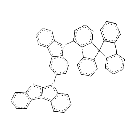 c1ccc2c(c1)-c1ccccc1C21c2ccccc2-c2c(-n3c4ccccc4c4cc(-n5c6ccccc6n6c7ccccc7nc56)ccc43)cccc21